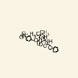 CC1(C)C[N+]2(C(=O)OCc3ccc([N+](=O)[O-])cc3)C(=O)C(NC(=O)COc3ccccc3)[C@@H]2S1